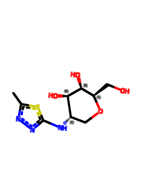 Cc1nnc(N[C@H]2CO[C@H](CO)[C@H](O)[C@@H]2O)s1